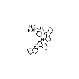 C[Si](C)(C)c1ccc(N(c2cc3oc4c5ccccc5ccc4c3c3ccccc23)c2cccc3c2oc2ccccc23)cc1